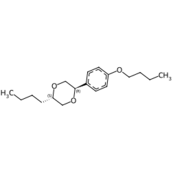 CCCCOc1ccc([C@@H]2CO[C@@H](CCCC)CO2)cc1